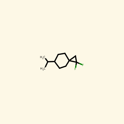 CC(C)C1CCC2(CC1)CC2(F)F